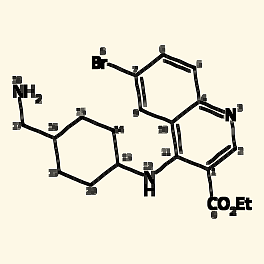 CCOC(=O)c1cnc2ccc(Br)cc2c1NC1CCC(CN)CC1